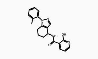 Cc1ccccc1-n1ncc2c1CCCC2NC(=O)c1cccnc1O